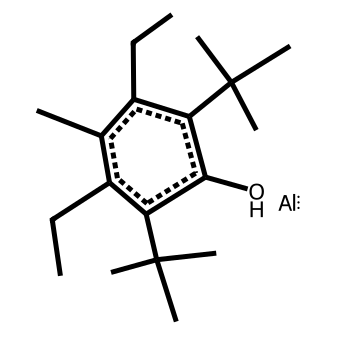 CCc1c(C)c(CC)c(C(C)(C)C)c(O)c1C(C)(C)C.[Al]